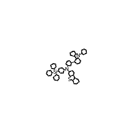 c1ccc(-n2c3ccccc3c3c(-c4cccc(N(c5ccc([Si](c6ccccc6)(c6ccccc6)c6ccccc6)cc5)c5ccc6c(c5)sc5ccccc56)c4)cccc32)cc1